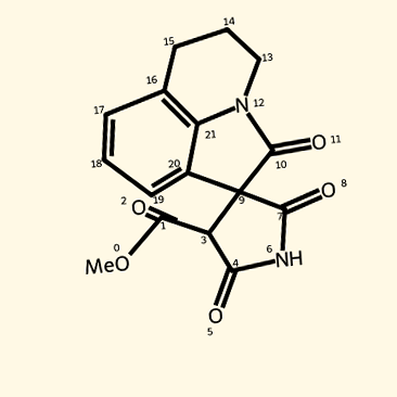 COC(=O)C1C(=O)NC(=O)C12C(=O)N1CCCc3cccc2c31